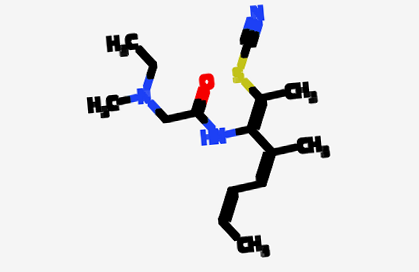 C\C=C/C=C(C)\C(NC(=O)CN(C)CC)=C(/C)SC#N